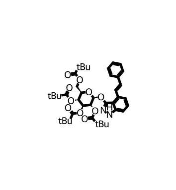 CC(C)(C)C(=O)OC[C@H]1O[C@@H](Oc2n[nH]c3cccc(C=Cc4ccccc4)c23)[C@H](OC(=O)C(C)(C)C)[C@@H](OC(=O)C(C)(C)C)[C@@H]1OC(=O)C(C)(C)C